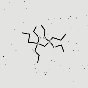 CCC[Si](C[Si](CCC)(OCC)OCC)(OCC)OCC